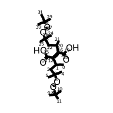 CC(CC(C)(C)OOC(C)(C)C)C(C(=O)O)=C(C(=O)O)C(C)CC(C)(C)OOC(C)(C)C